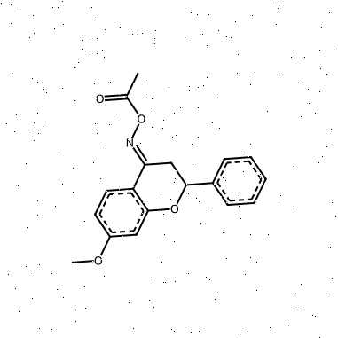 COc1ccc2c(c1)OC(c1ccccc1)C/C2=N\OC(C)=O